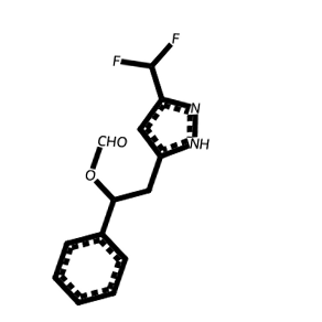 O=COC(Cc1cc(C(F)F)n[nH]1)c1ccccc1